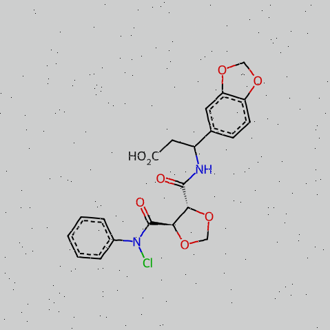 O=C(O)CC(NC(=O)[C@@H]1OCO[C@H]1C(=O)N(Cl)c1ccccc1)c1ccc2c(c1)OCO2